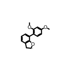 COc1ccc(-c2cccc3c2O[CH]C3)c(OC)c1